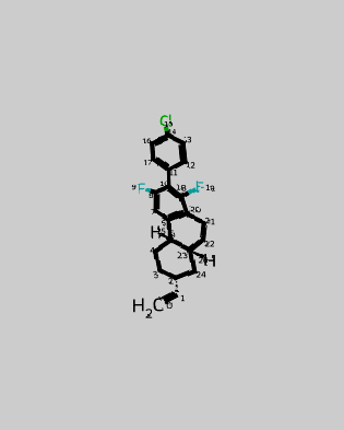 C=C[C@@H]1CC[C@@H]2c3cc(F)c(-c4ccc(Cl)cc4)c(F)c3CC[C@@H]2C1